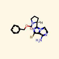 [2H][C@@]1(c2nc(Br)c3c(N)nccn23)CCCN1C(=O)OCc1ccccc1